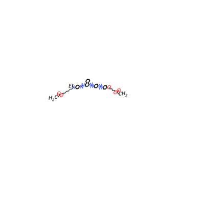 C=CC(=O)OCCCCCCN(CC)c1ccc(N=Nc2ccc(N=Nc3ccc(N=Nc4ccc(OCCCCOC(=O)C=C)cc4)cc3)c3ccccc23)cc1